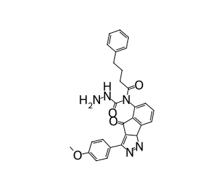 COc1ccc(C2=C3C(=O)c4c(cccc4N(C(=O)CCCc4ccccc4)C(=O)NN)C3N=N2)cc1